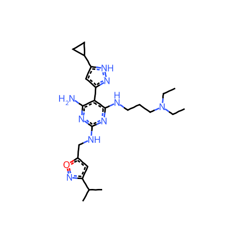 CCN(CC)CCCNc1nc(NCc2cc(C(C)C)no2)nc(N)c1-c1cc(C2CC2)[nH]n1